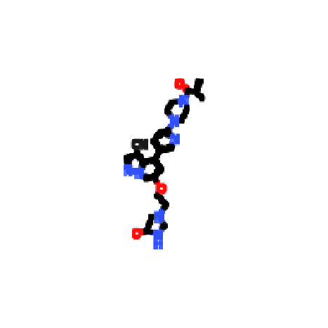 C=C(C)C(=O)N1CCN(c2ccc(-c3cc(OCCN4CNC(=O)C4)cn4ncc(C#N)c34)cn2)CC1